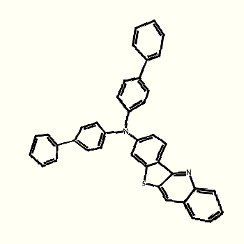 c1ccc(-c2ccc(N(c3ccc(-c4ccccc4)cc3)c3ccc4c(c3)sc3cc5ccccc5nc34)cc2)cc1